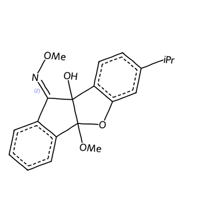 CO/N=C1/c2ccccc2C2(OC)Oc3cc(C(C)C)ccc3C12O